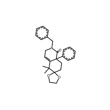 CC1(C)C2=CCN(Cc3ccccc3)C(=O)C2(c2ccccc2)CCC12OCCO2